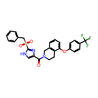 O=C(c1c[nH]c(S(=O)(=O)Cc2ccccc2)n1)N1CCc2c(cccc2Oc2ccc(C(F)(F)F)cc2)C1